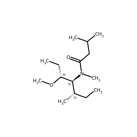 CC[C@H](C)[C@@H]([C@@H](CC)OC)N(C)C(=O)CC(C)C